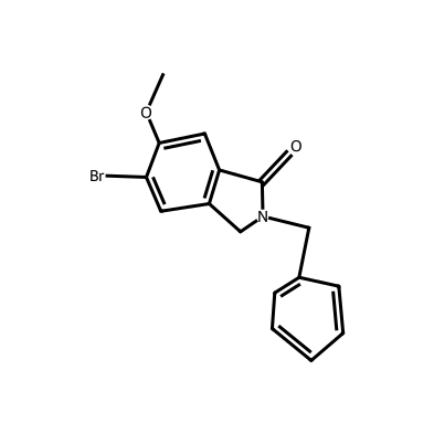 COc1cc2c(cc1Br)CN(Cc1ccccc1)C2=O